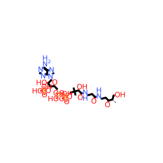 C[C@@H](CO)C(=O)CCNC(=O)CCNC(=O)C(O)C(C)(C)COP(=O)(O)OP(=O)(O)OCC1OC(n2cnc3c(N)ncnc32)C(O)C1OP(=O)(O)O